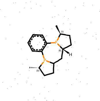 C[C@H]1CCC2C[C@H]3CC[C@H](C)P3c3ccccc3P21